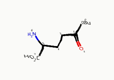 CC(C)(C)C(=O)CCC(N)C(=O)O